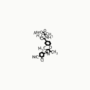 COC(=O)C(C)(C)NC(=O)c1ccc(Oc2c(C)nn(-c3ccc(C#N)c(Cl)c3)c2C)cc1